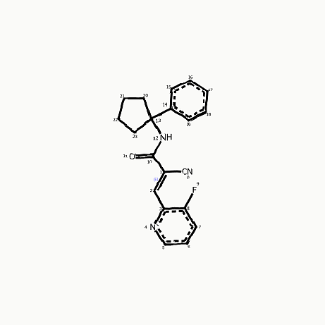 N#C/C(=C\c1ncccc1F)C(=O)NC1(c2ccccc2)CCCC1